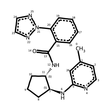 Cc1ccnc(N[C@H]2CCC[C@@H]2NC(=O)c2ccccc2-n2nccn2)c1